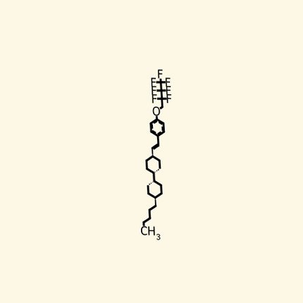 CCCCC[C@H]1CC[C@H]([C@H]2CC[C@H](C=Cc3ccc(OCC(F)(F)C(F)(F)C(F)(F)F)cc3)CC2)CC1